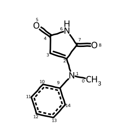 CN(C1=CC(=O)NC1=O)c1ccccc1